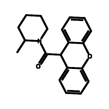 CC1CCCCN1C(=O)C1c2ccccc2Oc2ccccc21